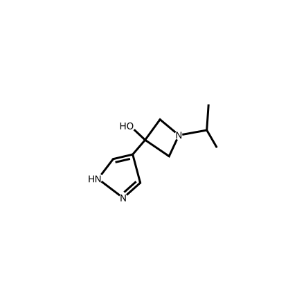 CC(C)N1CC(O)(c2cn[nH]c2)C1